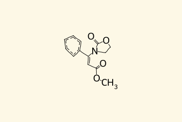 COC(=O)C=C(c1ccccc1)N1CCOC1=O